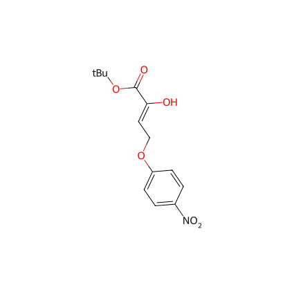 CC(C)(C)OC(=O)C(O)=CCOc1ccc([N+](=O)[O-])cc1